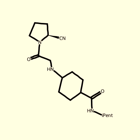 CCCC(C)NC(=O)C1CCC(NCC(=O)N2CCC[C@H]2C#N)CC1